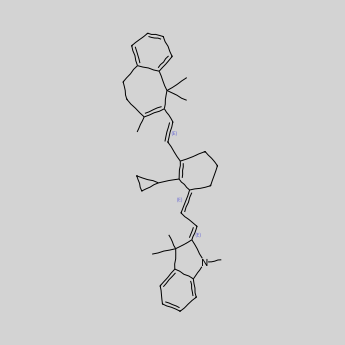 CC1=C(/C=C/C2=C(C3CC3)C(=C/C=C3/N(C)c4ccccc4C3(C)C)/CCC2)C(C)(C)c2ccccc2CC1